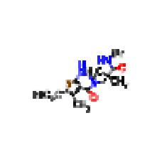 CCOC(=O)c1sc2c(c1C)C(=O)N(CC(C)(C)C(=O)NC(C)C)CN2